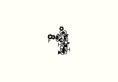 C=C[C@@H]1C[C@]1(NC(=O)[C@@H]1C[C@@H](OC(=O)N2Cc3cccc(F)c3C2)CN1C(=O)[C@@H](NC(=O)OC1CCCC1)C(C)(C)C)C(=O)NS(=O)(=O)OC1CC1